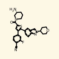 N#Cc1ccc(-c2cc(C(=O)N3CCC[C@@H](N)C3)sc2-c2ccc3nn(C4CCOCC4)cc3c2)cc1F